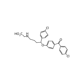 O=C(O)CNCCCC(Oc1ccc(C(=O)c2ccc(Cl)cc2)cc1)c1ccc(Cl)cc1